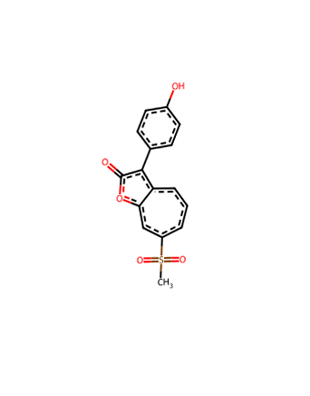 CS(=O)(=O)c1cccc2c(-c3ccc(O)cc3)c(=O)oc-2c1